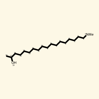 CNCCCCCCCCCCCCCCCCC(C)O